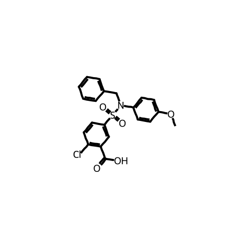 COc1ccc(N(Cc2ccccc2)S(=O)(=O)c2ccc(Cl)c(C(=O)O)c2)cc1